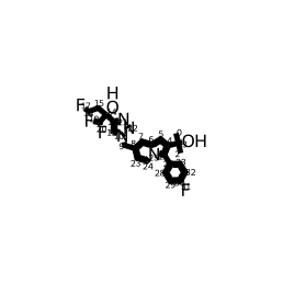 CC(C)(O)c1cc2cc(Cn3cc(C(O)(CCF)C(F)F)nn3)ccn2c1-c1ccc(F)cc1